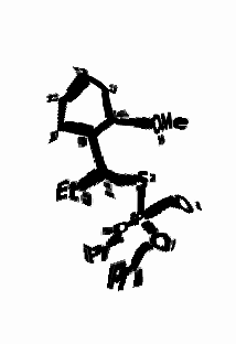 CCC(SP(=O)(OC(C)C)OC(C)C)c1ccccc1OC